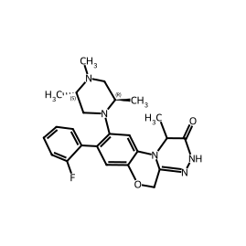 CC1C(=O)NN=C2COc3cc(-c4ccccc4F)c(N4C[C@H](C)N(C)C[C@H]4C)cc3N21